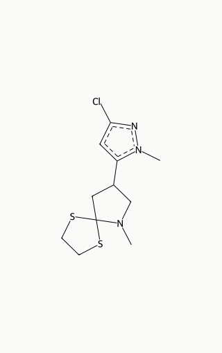 CN1CC(c2cc(Cl)nn2C)CC12SCCS2